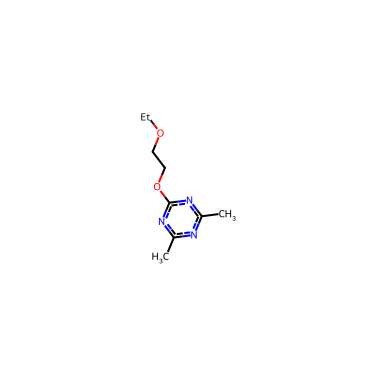 CCOCCOc1nc(C)nc(C)n1